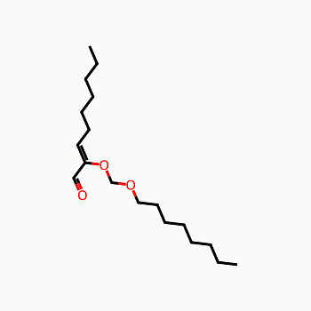 CCCCCCC=C(C=O)OCOCCCCCCCC